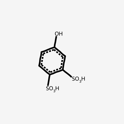 O=S(=O)(O)c1ccc(O)cc1S(=O)(=O)O